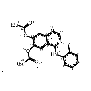 Cc1ccccc1Nc1ncnc2cc(OC(=O)C(C)(C)C)c(OC(=O)C(C)(C)C)cc12